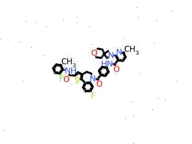 Cc1ccc(C(=O)Nc2ccc(C(=O)N3CCc4cc(C(=O)Nc5c(C)cccc5F)sc4-c4ccc(F)cc43)cc2)c(N2CC3(CCOCC3)C2)n1